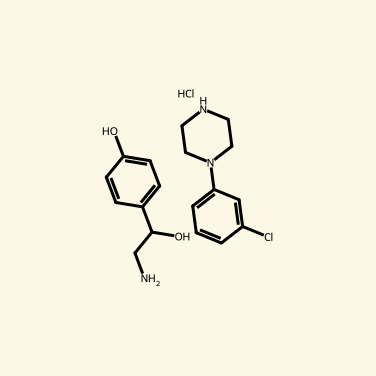 Cl.Clc1cccc(N2CCNCC2)c1.NCC(O)c1ccc(O)cc1